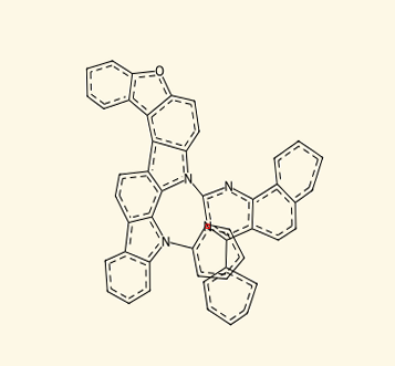 c1ccc(-c2nc(-n3c4ccc5oc6ccccc6c5c4c4ccc5c6ccccc6n(-c6ccccc6)c5c43)nc3c2ccc2ccccc23)cc1